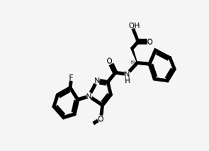 COc1cc(C(=O)N[C@@H](CC(=O)O)c2ccccc2)nn1-c1ccccc1F